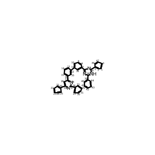 c1ccc(C2=NC(c3cccc(-c4cccc(-c5cc(-c6ccccc6)nc(-c6ccccc6)n5)c4)c3)=NC(c3ccccc3)N2)cc1